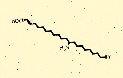 CCCCCCCC/C=C/CCCCCCCCCC(N)CCCCCCCCC(C)C